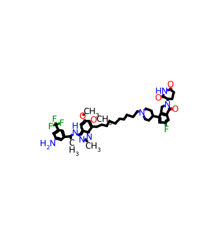 COc1cc2c(NC(C)c3cc(N)cc(C(F)(F)F)c3)nc(C)nc2c(CCCCCCCCCCN2CCC(c3cc(F)cc4c3CN(C3CCC(=O)NC3=O)C4=O)CC2)c1OC